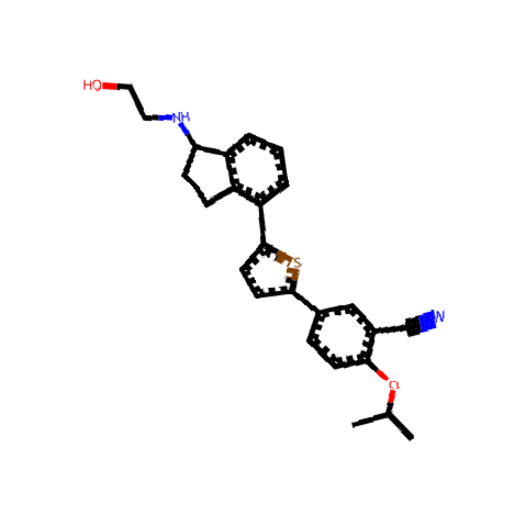 CC(C)Oc1ccc(-c2ccc(-c3cccc4c3CCC4NCCO)s2)cc1C#N